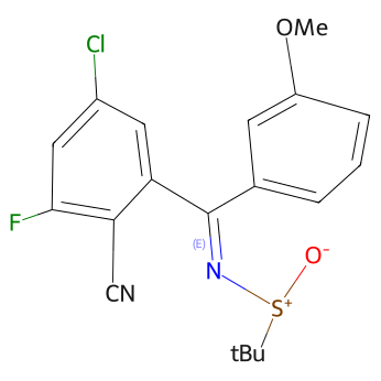 COc1cccc(/C(=N\[S+]([O-])C(C)(C)C)c2cc(Cl)cc(F)c2C#N)c1